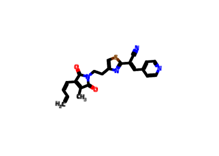 C=C/C=C\C1=C(C)C(=O)N(CCc2csc(/C(C#N)=C/c3ccncc3)n2)C1=O